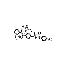 CC(=O)c1ccc(NC(=O)N(CCCN(C)C)Cc2ccc(C(=O)Nc3ccccc3N)cc2)cc1